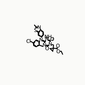 CCOC(=O)C1(Cn2c(=O)n(N)/c(=N\c3ccc4nc(C)sc4c3)n(Cc3ccc(Cl)cc3)c2=O)CC1